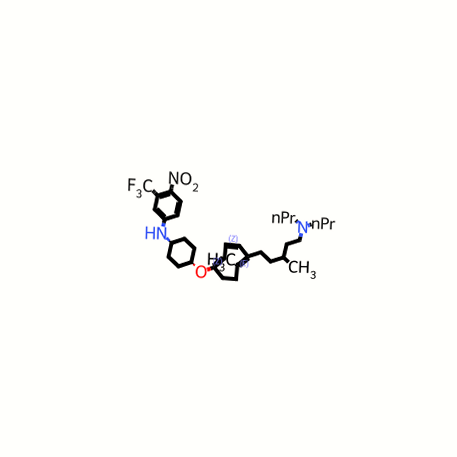 CCCN(CCC)CCC(C)CCC1=C(/C)CC/C(O[C@H]2CC[C@H](Nc3ccc([N+](=O)[O-])c(C(F)(F)F)c3)CC2)=C/C=C\1